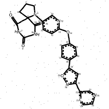 O=C1NC(=O)C2(CCCN2c2ccc(Oc3ccc(-c4cc(-c5cccnc5)no4)cc3)nc2)C(=O)N1